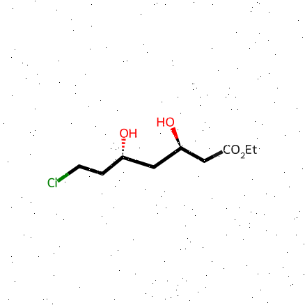 CCOC(=O)C[C@H](O)C[C@@H](O)CCCl